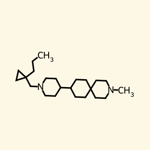 CCCC1(CN2CCC(C3CCC4(CC3)CCN(C)CC4)CC2)CC1